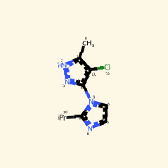 Cc1[nH]nc(-n2ccnc2C(C)C)c1Cl